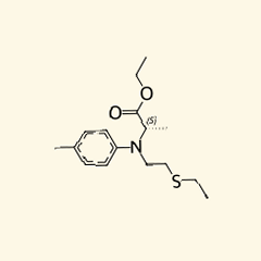 CCOC(=O)[C@H](C)N(CCSCC)c1ccc(C)cc1